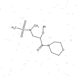 CC(C)OC(CN(C)S(C)(=O)=O)C(=O)N1CCOCC1